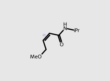 COC/C=C\C(=O)NC(C)C